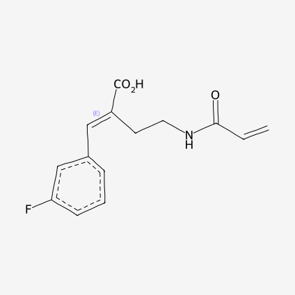 C=CC(=O)NCC/C(=C\c1cccc(F)c1)C(=O)O